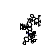 COc1ccc(/N=N/c2c(S(=O)(=O)[O-])cc3cc(Nc4nc(F)nc(F)c4Cl)ccc3c2O)c(S(=O)(=O)[O-])c1.[Na+].[Na+]